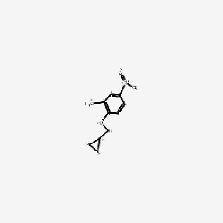 Cc1cc([N+](=O)[O-])ccc1OCC1CC1